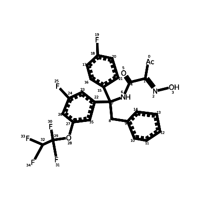 CC(=O)C(=NO)C(=O)NC(Cc1ccccc1)(c1ccc(F)cc1)c1cc(F)cc(OC(F)(F)C(F)F)c1